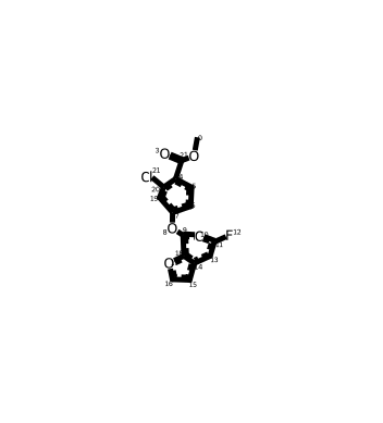 COC(=O)c1ccc(Oc2cc(F)cc3ccoc23)cc1Cl